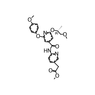 COC[C@@H](C)Oc1cc(C(=O)Nc2ccc(CC(=O)OC)cn2)cc(Oc2ccc(OC)cc2)n1